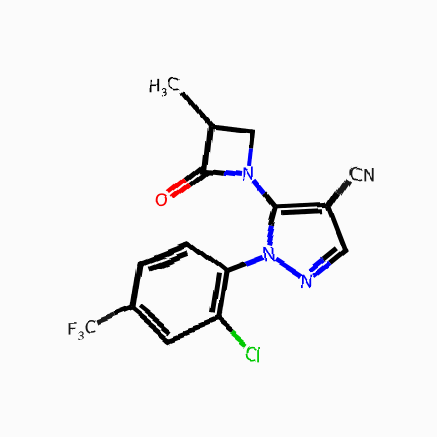 CC1CN(c2c(C#N)cnn2-c2ccc(C(F)(F)F)cc2Cl)C1=O